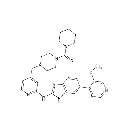 COc1cncnc1-c1ccc2nc(Nc3cc(CN4CCN(C(=O)N5CCCCC5)CC4)ccn3)[nH]c2c1